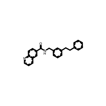 O=C(NCc1cccc(CCc2ccccc2)c1)c1ccc2ncccc2c1